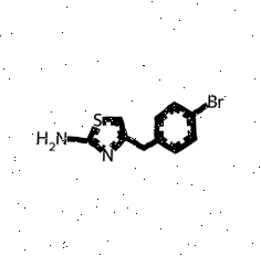 Nc1nc(Cc2ccc(Br)cc2)cs1